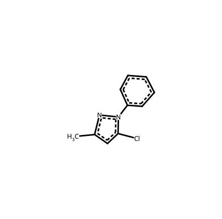 Cc1cc(Cl)n(-c2ccccc2)n1